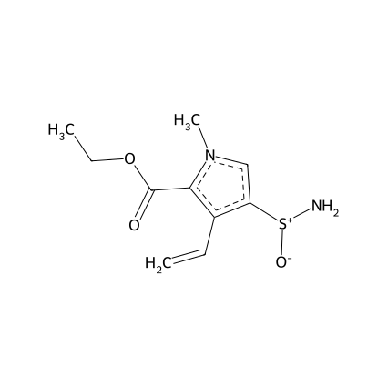 C=Cc1c([S+](N)[O-])cn(C)c1C(=O)OCC